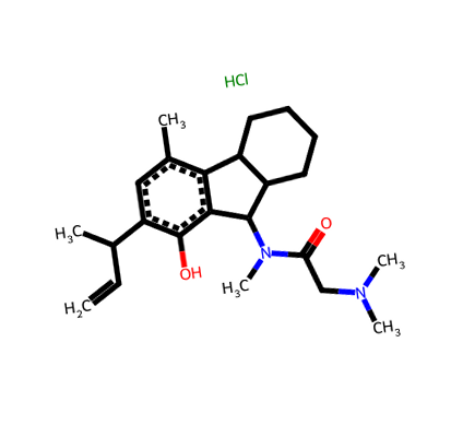 C=CC(C)c1cc(C)c2c(c1O)C(N(C)C(=O)CN(C)C)C1CCCCC21.Cl